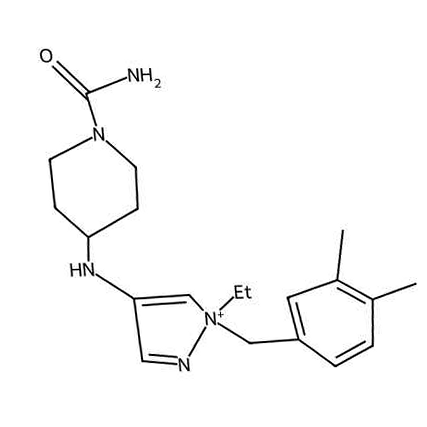 CC[N+]1(Cc2ccc(C)c(C)c2)C=C(NC2CCN(C(N)=O)CC2)C=N1